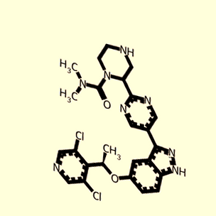 C[C@@H](Oc1ccc2[nH]nc(-c3cnc(C4CNCCN4C(=O)N(C)C)nc3)c2c1)c1c(Cl)cncc1Cl